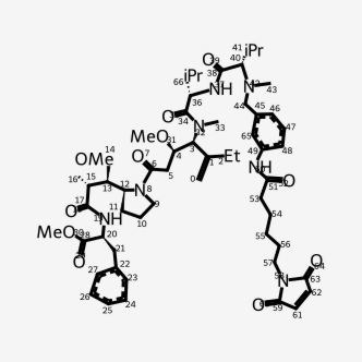 C=C(CC)[C@@H]([C@@H](CC(=O)N1CCC[C@H]1[C@H](OC)[C@@H](C)C(=O)N[C@@H](Cc1ccccc1)C(=O)OC)OC)N(C)C(=O)[C@@H](NC(=O)[C@H](C(C)C)N(C)Cc1cccc(NC(=O)CCCCCN2C(=O)C=CC2=O)c1)C(C)C